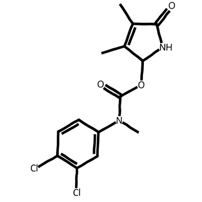 CC1=C(C)C(OC(=O)N(C)c2ccc(Cl)c(Cl)c2)NC1=O